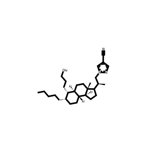 CCCCC[C@H]1CC[C@@H]2[C@H](CC[C@]3(C)C([C@H](C)Cn4cc(C#N)cn4)CC[C@@H]23)[C@H]1CCCO